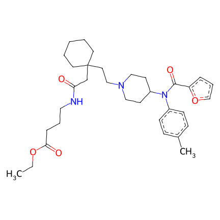 CCOC(=O)CCCNC(=O)CC1(CCN2CCC(N(C(=O)c3ccco3)c3ccc(C)cc3)CC2)CCCCC1